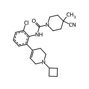 CC1(C#N)CCN(C(=O)Nc2c(Cl)cccc2C2=CCN(C3CCC3)CC2)CC1